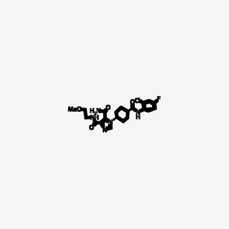 COCCNC(=O)c1ncn([C@H]2CC[C@H](C(=O)Nc3ccc(F)cc3Cl)CC2)c1C(N)=O